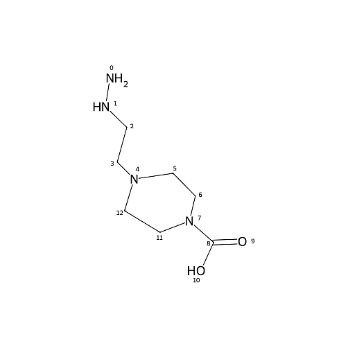 NNCCN1CCN(C(=O)O)CC1